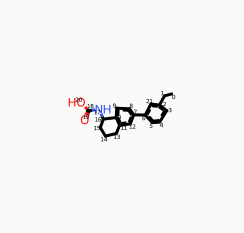 CCc1cccc(-c2ccc3c(c2)CCCC3NC(=O)O)c1